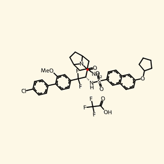 COc1cc(C(F)(F)[C@@H](NS(=O)(=O)c2ccc3cc(OC4CCCC4)ccc3c2)C(=O)N2C3CCC2CC(N)C3)ccc1-c1ccc(Cl)cc1.O=C(O)C(F)(F)F